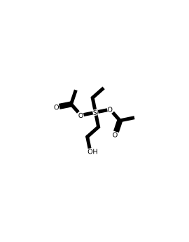 CC[Si](CCO)(OC(C)=O)OC(C)=O